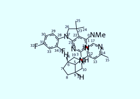 CNc1nc(NC2[C@@H]3CC[C@H]2CN(c2cc(C)ncn2)C3)nc2c1C(C)(C)CN2c1ccc(F)cc1F